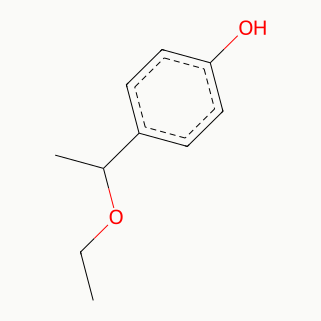 CCOC(C)c1ccc(O)cc1